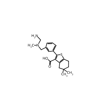 CN(CN)Cc1cccc(-c2sc3c(c2C(=O)O)CC(C)(C)CC3)c1